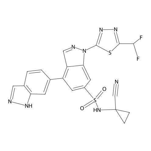 N#CC1(NS(=O)(=O)c2cc(-c3ccc4cn[nH]c4c3)c3cnn(-c4nnc(C(F)F)s4)c3c2)CC1